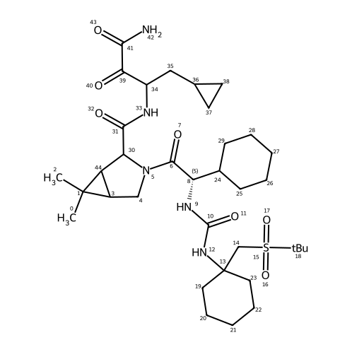 CC1(C)C2CN(C(=O)[C@@H](NC(=O)NC3(CS(=O)(=O)C(C)(C)C)CCCCC3)C3CCCCC3)C(C(=O)NC(CC3CC3)C(=O)C(N)=O)C21